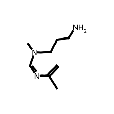 C=C(C)/N=C\N(C)CCCN